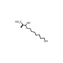 C=C(C(=O)O)C(O)CCCCCCCCO